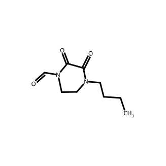 CCCCN1CCN(C=O)C(=O)C1=O